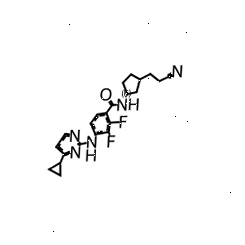 N#CCCC1CC[C@@H](NC(=O)c2ccc(Nc3nccc(C4CC4)n3)c(F)c2F)C1